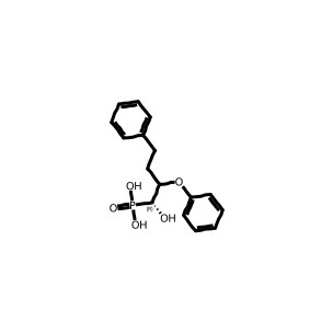 O=P(O)(O)[C@@H](O)C(CCc1ccccc1)Oc1ccccc1